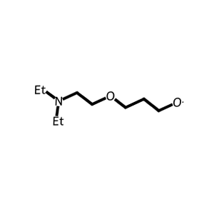 CCN(CC)CCOCCC[O]